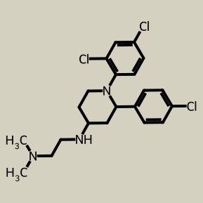 CN(C)CCNC1CCN(c2ccc(Cl)cc2Cl)C(c2ccc(Cl)cc2)C1